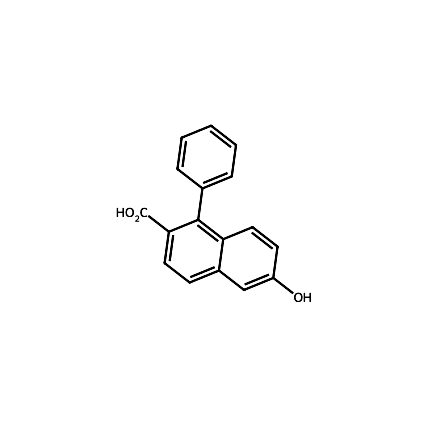 O=C(O)c1ccc2cc(O)ccc2c1-c1ccccc1